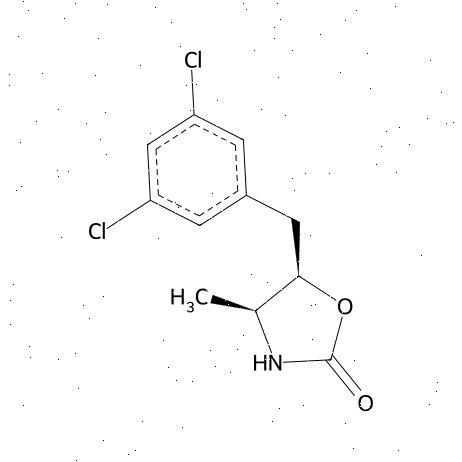 C[C@@H]1NC(=O)O[C@@H]1Cc1cc(Cl)cc(Cl)c1